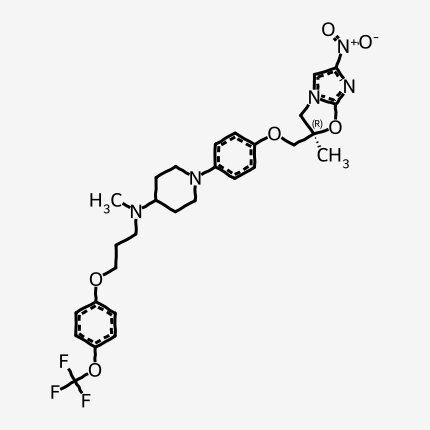 CN(CCCOc1ccc(OC(F)(F)F)cc1)C1CCN(c2ccc(OC[C@@]3(C)Cn4cc([N+](=O)[O-])nc4O3)cc2)CC1